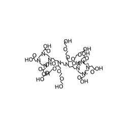 O=C(O)CN1CCN(CC(=O)O)CCN(CC(O)CN(CCN(CC(O)CN2CCN(CC(=O)O)CCN(CC(=O)O)CCN(CC(=O)O)CC2)C(COCCOCCO)COCCOCCO)C(COCCOCCO)COCCOCCO)CCN(CC(=O)O)CC1